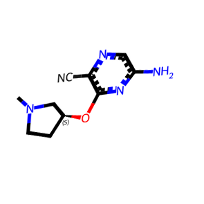 CN1CC[C@H](Oc2nc(N)cnc2C#N)C1